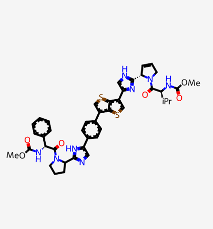 COC(=O)N[C@H](C(=O)N1CC=C[C@H]1c1nc(-c2csc3c(-c4ccc(-c5cnc(C6CCCN6C(=O)[C@H](NC(=O)OC)c6ccccc6)[nH]5)cc4)csc23)c[nH]1)C(C)C